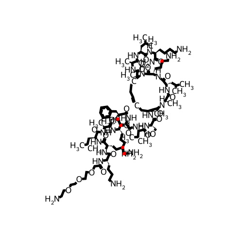 CC(C)C[C@H](NC(=O)[C@H](C)NC(=O)[C@]1(C)CCC/C=C/CCC[C@](C)(NC(=O)[C@H](CO)NC(=O)[C@@H](NC(=O)[C@H](CC(C)C)NC(=O)[C@H](Cc2ccccc2)NC(=O)[C@H](CCCCN)NC(=O)[C@H](C)NC(=O)[C@H](CC(C)C)NC(=O)[C@H](CCCCN)NC(=O)[C@H](CCCCN)NC(=O)COCCOCCOCCN)C(C)C)C(=O)N[C@@H](C)C(=O)N[C@@H](CC(C)C)C(=O)N[C@@H](CCCCN)C(=O)N1)C(=O)N[C@@H](CCCCN)C(N)=O